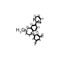 CN1CCN(c2cc(F)cc(F)c2)c2ccc(-c3ncccn3)cc2C1